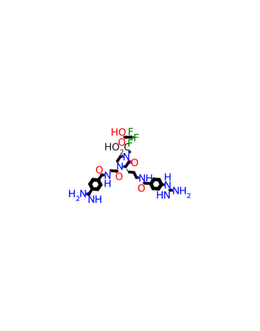 N=C(N)Nc1ccc(C(=O)NCCC[C@H]2C(=O)N(CC(=O)O)CCN2C(=O)CNC(=O)c2ccc(C(=N)N)cc2)cc1.O=C(O)C(F)(F)F